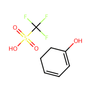 O=S(=O)(O)C(F)(F)F.OC1=CC=CCC1